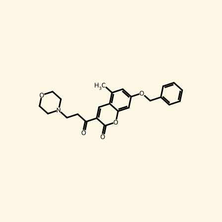 Cc1cc(OCc2ccccc2)cc2oc(=O)c(C(=O)CCN3CCOCC3)cc12